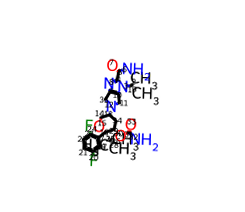 CC(C)n1c(C(N)=O)nc2c1CN([C@H]1CO[C@@](c3cc(F)ccc3F)(C(C)(C)C)[C@@H](OC(N)=O)C1)C2